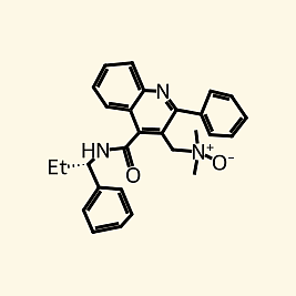 CC[C@H](NC(=O)c1c(C[N+](C)(C)[O-])c(-c2ccccc2)nc2ccccc12)c1ccccc1